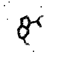 Nc1ccc2cnn(C(=O)O)c2c1